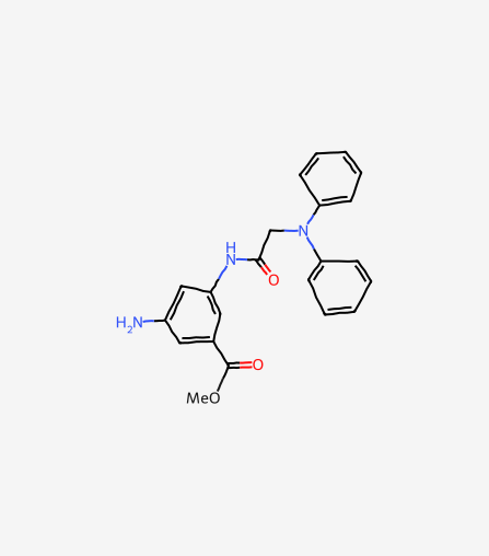 COC(=O)c1cc(N)cc(NC(=O)CN(c2ccccc2)c2ccccc2)c1